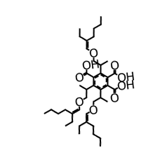 CCCCC(=COCC(C)c1c(C(=O)O)c(C(=O)O)c(C(C)COC=C(CC)CCCC)c(C(C)COC=C(CC)CCCC)c1C(=O)O)CC